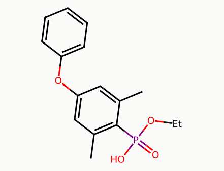 CCOP(=O)(O)c1c(C)cc(Oc2ccccc2)cc1C